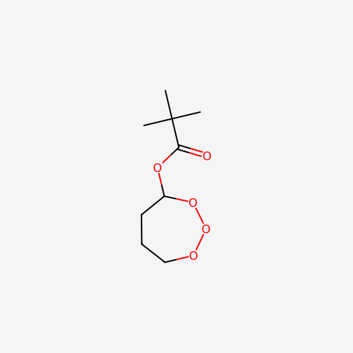 CC(C)(C)C(=O)OC1CCCOOO1